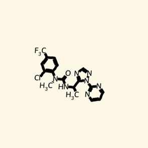 CC(NC(=O)N(C)c1ccc(C(F)(F)F)cc1Cl)c1ncnn1-c1ncccn1